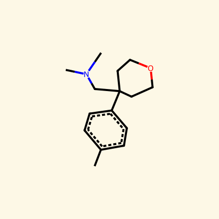 Cc1ccc(C2(CN(C)C)CCOCC2)cc1